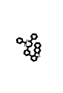 C1=C(c2cccc(-c3cccc4sc5cc6ccccc6cc5c34)c2)N=C(c2ccccc2)N=C(c2ccccc2)C1